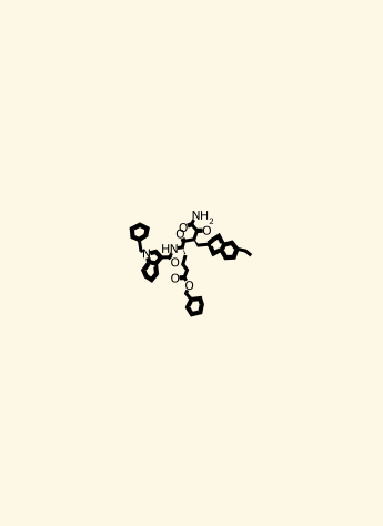 CCc1ccc2cc(C[C@H](C(=O)C(N)=O)C(=O)[C@H](CCCC(=O)OCc3ccccc3)NC(=O)c3cn(Cc4ccccc4)c4ccccc34)ccc2c1